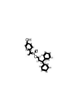 CC(c1ccc(O)cn1)=[N+](Cl)OCCC(c1ccccc1)c1ccccc1